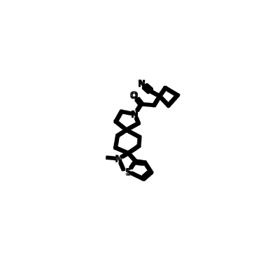 CN(C)C1(c2cccs2)CCC2(CCN(C(=O)CC3(C#N)CCC3)C2)CC1